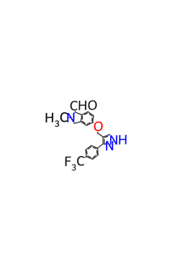 CN1Cc2cc(OCc3c[nH]nc3-c3ccc(C(F)(F)F)cc3)ccc2C1C=O